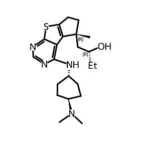 CC[C@@H](O)C[C@@]1(C)CCc2sc3ncnc(N[C@H]4CC[C@H](N(C)C)CC4)c3c21